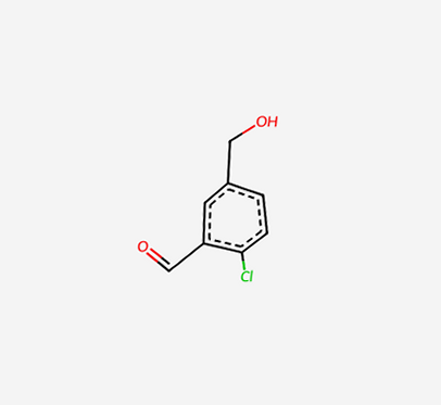 O=Cc1cc(CO)ccc1Cl